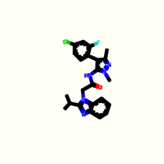 Cc1nn(C)c(NC(=O)Cn2c(C(C)C)nc3ccccc32)c1-c1ccc(Cl)cc1F